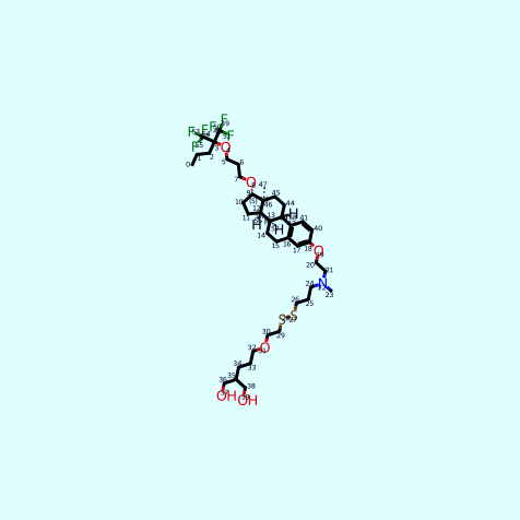 CCCC(OCCCO[C@H]1CC[C@H]2[C@@H]3CCc4cc(OCCN(C)CCCSSCCOCCCC(CO)CO)ccc4[C@H]3CC[C@]12C)(C(F)(F)F)C(F)(F)F